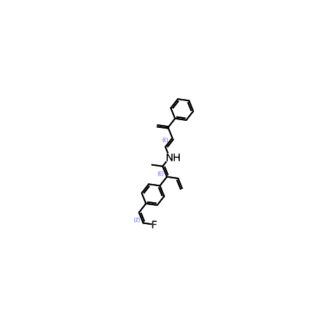 C=C/C(=C(/C)N/C=C/C(=C)c1ccccc1)c1ccc(/C=C\F)cc1